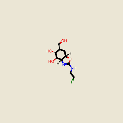 OC[C@H]1C[C@@H]2OC(NCCF)=N[C@@H]2[C@@H](O)[C@@H]1O